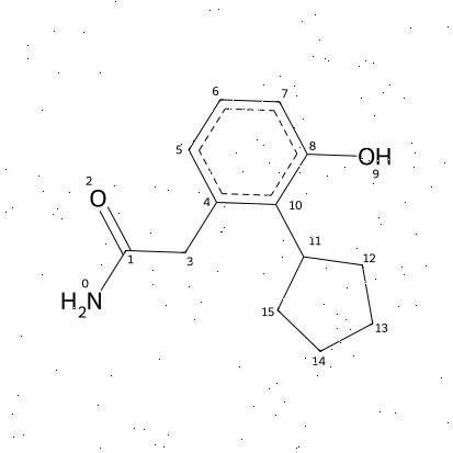 NC(=O)Cc1cccc(O)c1C1CCCC1